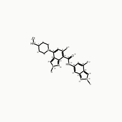 CCNC1CCN(c2cc(F)c(C(=O)Nc3cc(F)c4cn(C)nc4c3)c3nn(C)cc23)CC1